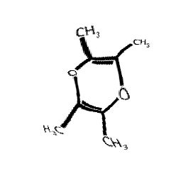 CC1=C(C)OC(C)=C(C)O1